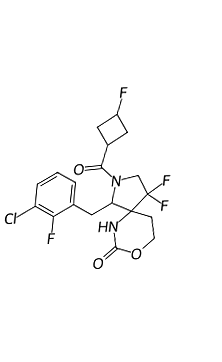 O=C1NC2(CCO1)C(Cc1cccc(Cl)c1F)N(C(=O)C1CC(F)C1)CC2(F)F